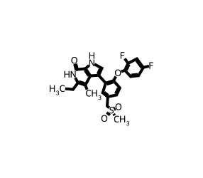 CCc1[nH]c(=O)c2[nH]cc(-c3cc(CS(C)(=O)=O)ccc3Oc3ccc(F)cc3F)c2c1C